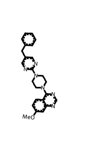 COc1ccc2c(N3CCN(c4ncc(Cc5ccccc5)cn4)CC3)ncnc2c1